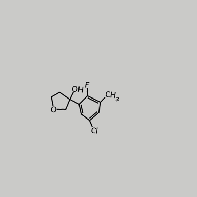 Cc1cc(Cl)cc(C2(O)CCOC2)c1F